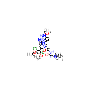 C=CC(=O)Nc1cccc(C)c1Nc1ncc2cc(-c3c(Cl)c(OC)cc(OC)c3Cl)c(=O)n(CC3CC(NC(=O)/C=C/CN(C)C)C3)c2n1